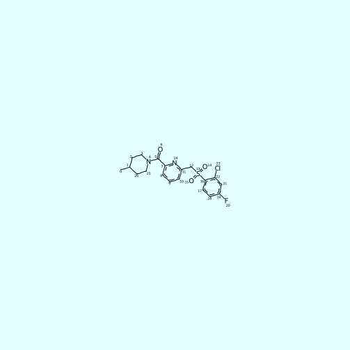 CC1CCN(C(=O)c2cccc(CS(=O)(=O)c3ccc(F)cc3Cl)n2)CC1